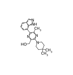 Cc1nc(N2CCC(C)(C)CC2)c(CO)nc1-c1cccc2cn[nH]c12